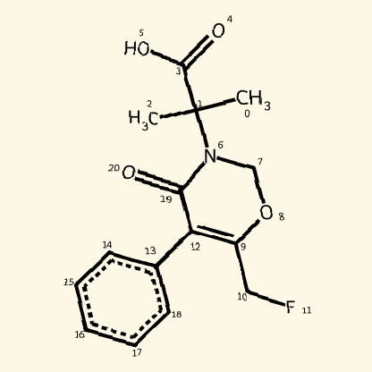 CC(C)(C(=O)O)N1COC(CF)=C(c2ccccc2)C1=O